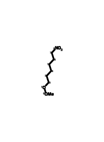 COOCCCCCC[N+](=O)[O-]